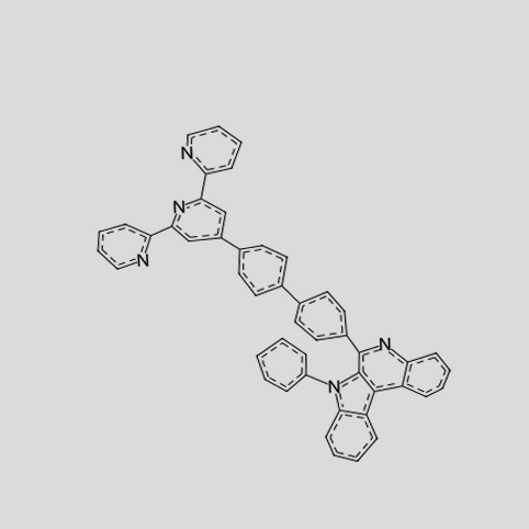 c1ccc(-n2c3ccccc3c3c4ccccc4nc(-c4ccc(-c5ccc(-c6cc(-c7ccccn7)nc(-c7ccccn7)c6)cc5)cc4)c32)cc1